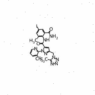 Cc1cc(I)cc(C(N)=O)c1NC(=O)c1cc(Cn2nnnc2C(F)(F)F)nn1-c1ncccc1C(F)(F)F